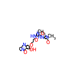 Cn1cc(NC(=O)c2cc(NC(=O)CCCOc3cc4c(cc3O)C(=O)N3CCCC3C=N4)cn2C)cc1C=O